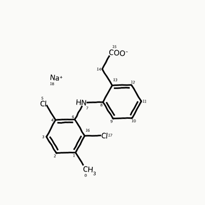 Cc1ccc(Cl)c(Nc2ccccc2CC(=O)[O-])c1Cl.[Na+]